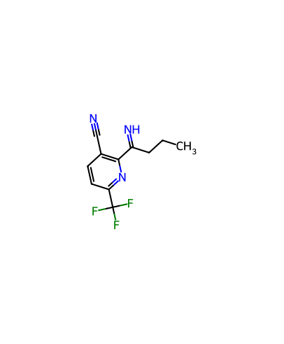 CCCC(=N)c1nc(C(F)(F)F)ccc1C#N